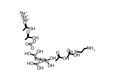 CC(=O)O.CC(=O)O.CC(=O)O.CC(=O)O.NCCN.OB(O)O.OB(O)O.OB(O)O.[Na+].[Na+].[Na+].[O-]B([O-])[O-]